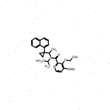 COc1ccnc(C(=O)N(C(C)C(=O)O)C(C)C2(c3cccc4ccccc34)CC2)c1OCOC(C)=O